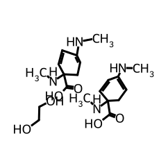 CNC1=CCC(NC)(C(=O)O)C=C1.CNC1=CCC(NC)(C(=O)O)C=C1.OCCO